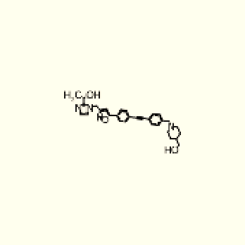 C[C@H](O)c1nccn1Cc1cc(-c2ccc(C#Cc3ccc(CN4CCC(CO)CC4)cc3)cc2)on1